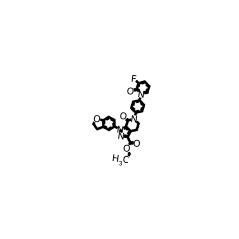 CCOC(=O)c1nn(-c2ccc3c(c2)CCO3)c2c1CCN(c1ccc(-n3cccc(F)c3=O)cc1)C2=O